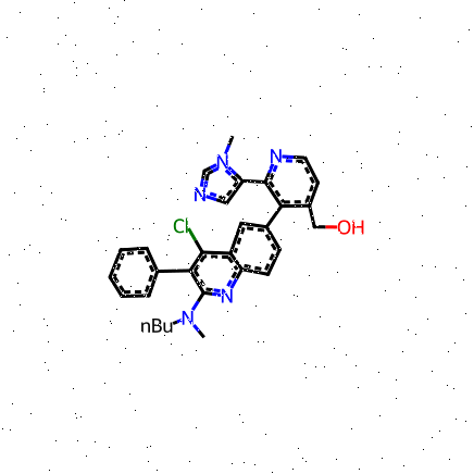 CCCCN(C)c1nc2ccc(-c3c(CO)ccnc3-c3cncn3C)cc2c(Cl)c1-c1ccccc1